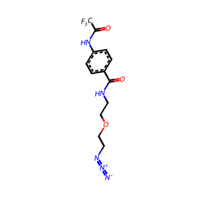 [N-]=[N+]=NCCOCCNC(=O)c1ccc(NC(=O)C(F)(F)F)cc1